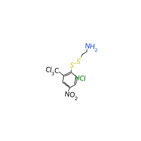 Cl.NCCSSc1ccc([N+](=O)[O-])cc1C(Cl)(Cl)Cl